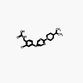 CC(C)C1CCN(c2ncc(Nc3ccc(CNC(=O)O)c(Cl)c3)cn2)CC1